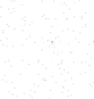 CCCCCCCCC=CCCCCCCCC(=O)CCC(N)C(N)(C(=O)CCCCCCCC=CCCCCCCCC)C(=O)C(CCCN)CCC(N)CCCN